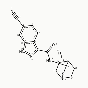 N#Cc1ccc2c(C(=O)N[C@@H]3CN4CCC3CC4)n[nH]c2c1